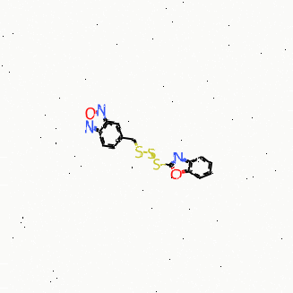 c1ccc2oc(SSSCc3ccc4nonc4c3)nc2c1